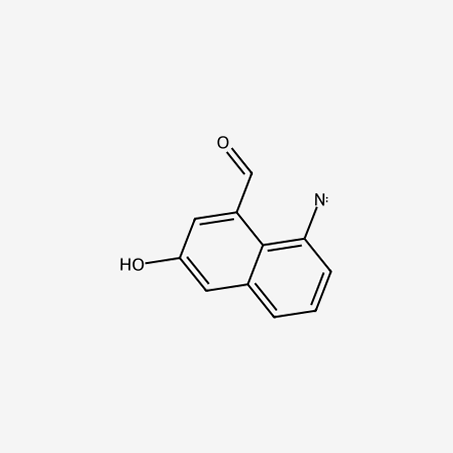 [N]c1cccc2cc(O)cc(C=O)c12